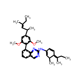 CC/C(C)=C\C(C)c1cc(OC)c(-c2cccc3cnc(NC4=CC(C)/C(=C(\C)CC)C=C4)nc23)c(OC)c1